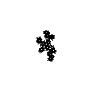 N#Cc1c(-c2ccc(-n3c4ccccc4c4c5sc6ccccc6c5ccc43)cc2-c2nc(-c3ccccc3)nc(-c3ccccc3)n2)cccc1-n1c2ccccc2c2c3sc4ccccc4c3ccc21